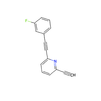 C#Cc1cccc(C#Cc2cccc(F)c2)n1